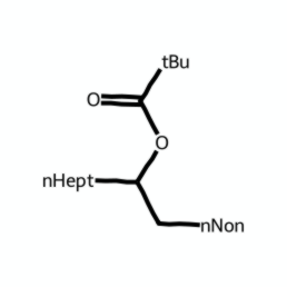 CCCCCCCCCCC(CCCCCCC)OC(=O)C(C)(C)C